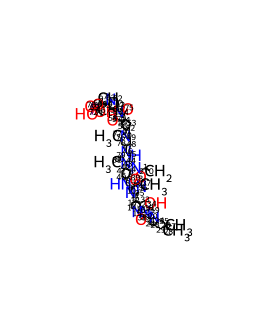 C=CC(=O)Nc1cc(Nc2nc(-c3ccnc(N4CCn5c(cc6c5CC(C)(C)C6)C4=O)c3CO)cn(C)c2=O)ccc1N1CCN(C2CCN(c3ccc4c(c3)C(=O)N(c3ccnc(C(C)(C)OP(=O)(O)O)c3)C4=O)[C@H](C)C2)C[C@@H]1C